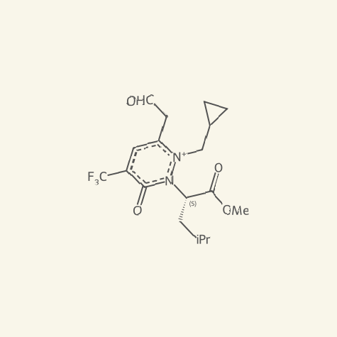 COC(=O)[C@H](CC(C)C)n1c(=O)c(C(F)(F)F)cc(CC=O)[n+]1CC1CC1